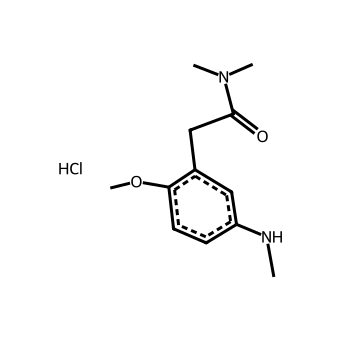 CNc1ccc(OC)c(CC(=O)N(C)C)c1.Cl